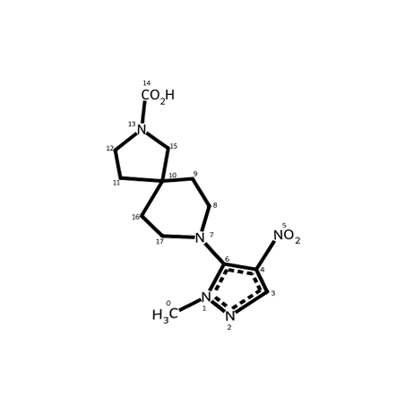 Cn1ncc([N+](=O)[O-])c1N1CCC2(CCN(C(=O)O)C2)CC1